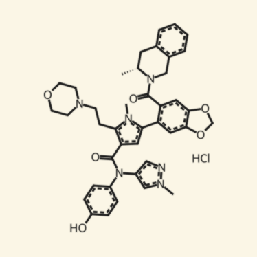 C[C@@H]1Cc2ccccc2CN1C(=O)c1cc2c(cc1-c1cc(C(=O)N(c3ccc(O)cc3)c3cnn(C)c3)c(CCN3CCOCC3)n1C)OCO2.Cl